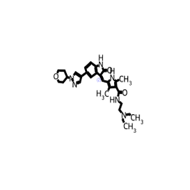 CCN(CC)CCNC(=O)c1c(C)[nH]c(/C=C2\C(=O)Nc3ccc(-c4cnn(C5CCOCC5)c4)cc32)c1C